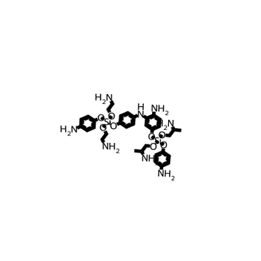 CC(N)CO[Si](OCC(C)N)(Oc1ccc(N)cc1)Oc1ccc(N)c(Nc2ccc(O[Si](OCCN)(OCCN)Oc3ccc(N)cc3)cc2)c1